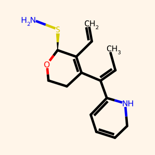 C=CC1=C(/C(=C\C)C2=CC=CCN2)CCO[C@H]1SN